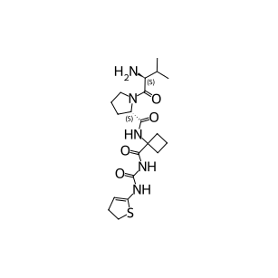 CC(C)[C@H](N)C(=O)N1CCC[C@H]1C(=O)NC1(C(=O)NC(=O)NC2=CCCS2)CCC1